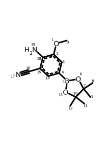 COc1cc(B2OC(C)(C)C(C)(C)O2)cc(C#N)c1N